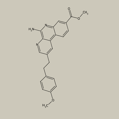 COC(=O)c1ccc2c(c1)nc(N)c1ncc(CCc3ccc(OC)cc3)cc12